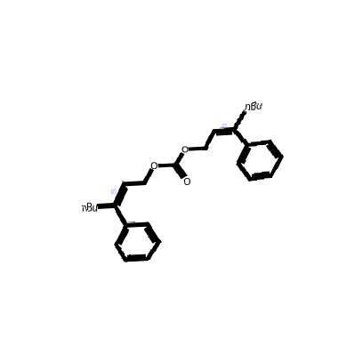 CCCC/C(=C/COC(=O)OC/C=C(/CCCC)c1ccccc1)c1ccccc1